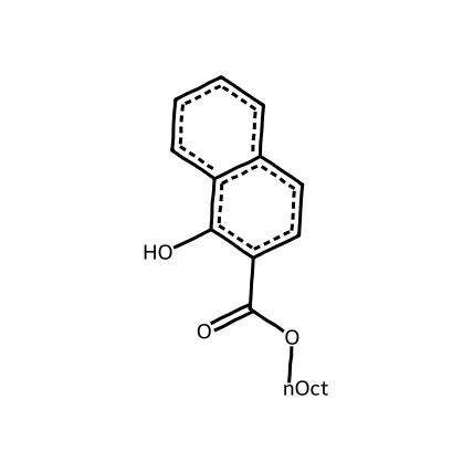 CCCCCCCCOC(=O)c1ccc2ccccc2c1O